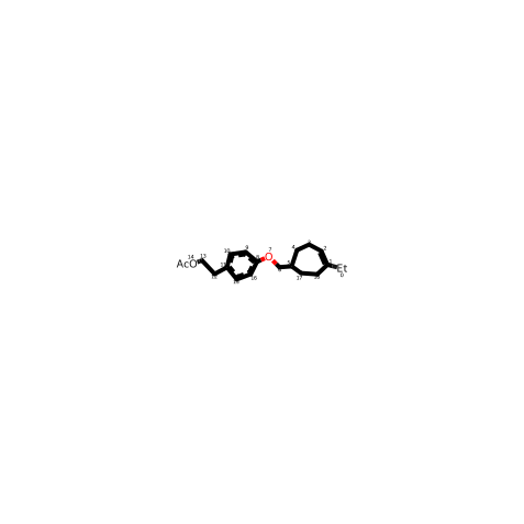 CCC1=CCCC(COc2ccc(CCOC(C)=O)cc2)CC1